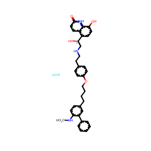 F.F.O=C(O)Nc1ccc(CCCCOc2ccc(CCNC[C@@H](O)c3ccc(O)c4[nH]c(=O)ccc34)cc2)cc1-c1ccccc1